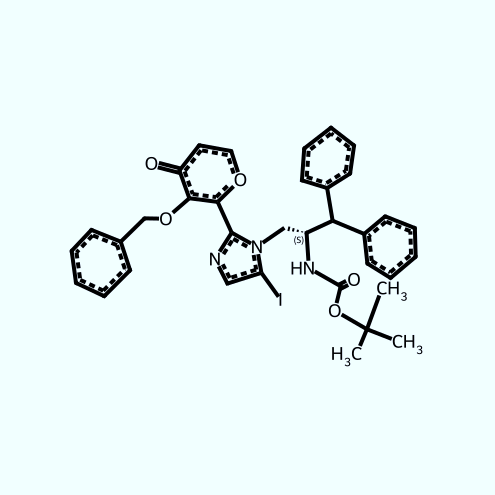 CC(C)(C)OC(=O)N[C@H](Cn1c(I)cnc1-c1occc(=O)c1OCc1ccccc1)C(c1ccccc1)c1ccccc1